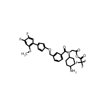 CSc1cc(F)c(F)cc1-c1ccc(OCc2cccc(C(=O)N(CC(=O)OC(=O)C(F)(F)F)C3CCC(N)CC3)c2)cc1